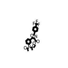 CCOC(=O)c1nc(-c2ccc(C(F)(F)F)cc2)oc1-c1cccc(N(C(C)=O)C(C)=O)c1